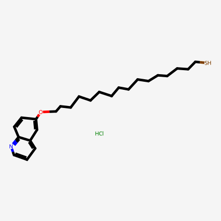 Cl.SCCCCCCCCCCCCCCCCOc1ccc2ncccc2c1